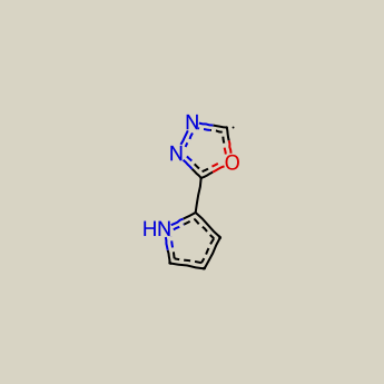 [c]1nnc(-c2ccc[nH]2)o1